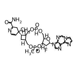 CC1([C@@H]2C[C@@H]3CO[P@@](C)(=O)O[C@H]4[C@@H](F)[C@H](n5cnc6c5ncn5ccnc65)O[C@@H]4CO[PH](=O)OC[C@H]32)C=CN=C(C(N)=O)C1